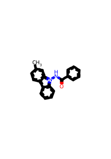 Cc1ccc2c3ccccc3n(NC(=O)c3ccccc3)c2c1